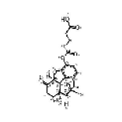 O=C(O)CCOC(=O)Oc1ccc2c3c1O[C@@H]1C(=O)CC[C@]4(O)[C@H](C2)N(I)CC[C@@]314